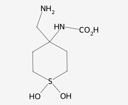 NCC1(NC(=O)O)CCS(O)(O)CC1